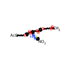 C=CC(=O)OCCCCCCOc1ccc(C(=O)OCCc2ccc(OC(=O)c3ccc(OCCCCCCOC(C)=O)cc3)c(/C=N/Nc3nc4cc([N+](=O)[O-])ccc4s3)c2)cc1